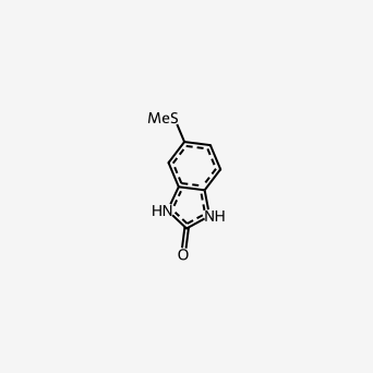 CSc1ccc2[nH]c(=O)[nH]c2c1